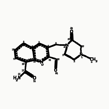 CN1CCN(Cc2cc3cccc(C(N)=O)c3nc2C=O)C(=O)C1